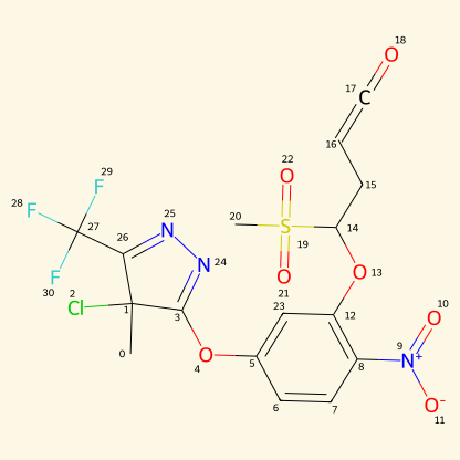 CC1(Cl)C(Oc2ccc([N+](=O)[O-])c(OC(CC=C=O)S(C)(=O)=O)c2)=NN=C1C(F)(F)F